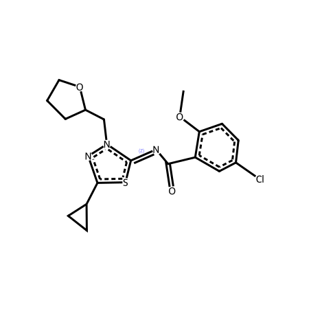 COc1ccc(Cl)cc1C(=O)/N=c1\sc(C2CC2)nn1CC1CCCO1